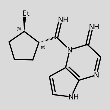 CC[C@@H]1CCC[C@H]1C(=N)n1c(=N)cnc2[nH]ccc21